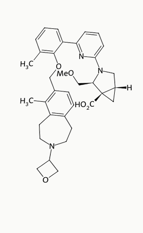 COC[C@H]1N(c2cccc(-c3cccc(C)c3OCc3ccc4c(c3C)CCN(C3COC3)CC4)n2)C[C@@H]2C[C@@]21C(=O)O